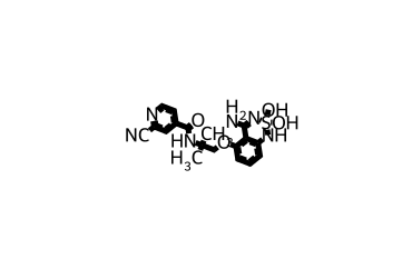 CC(C)(COc1cccc2c1C(N)=NS(O)(O)N2)NC(=O)c1ccnc(C#N)c1